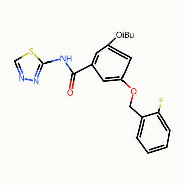 CC(C)COc1cc(OCc2ccccc2F)cc(C(=O)Nc2nncs2)c1